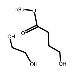 CCCCOC(=O)CCCO.OCCO